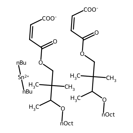 CCCCCCCCOC(C)C(C)(C)COC(=O)/C=C\C(=O)[O-].CCCCCCCCOC(C)C(C)(C)COC(=O)/C=C\C(=O)[O-].CCC[CH2][Sn+2][CH2]CCC